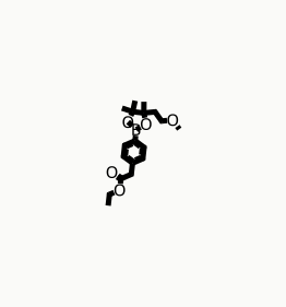 CCOC(=O)Cc1ccc(B2OC(C)(C)C(C)(CCOC)O2)cc1